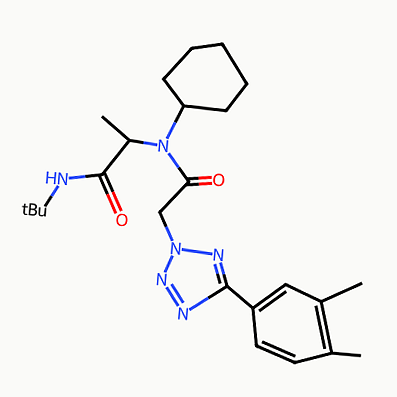 Cc1ccc(-c2nnn(CC(=O)N(C3CCCCC3)C(C)C(=O)NC(C)(C)C)n2)cc1C